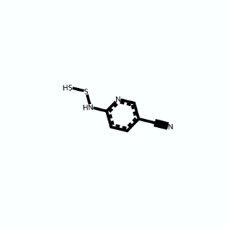 N#Cc1ccc(NSS)nc1